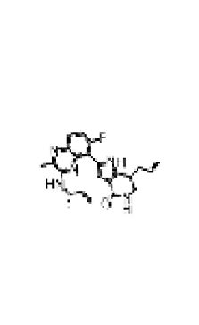 C=CC[C@H]1CNC(=O)c2cc(-c3c(F)ccc4nc(C)c(N[C@@H](C)C=C)nc34)[nH]c21